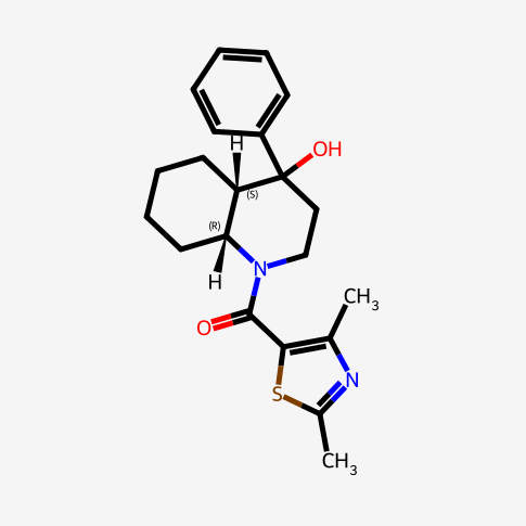 Cc1nc(C)c(C(=O)N2CCC(O)(c3ccccc3)[C@H]3CCCC[C@H]32)s1